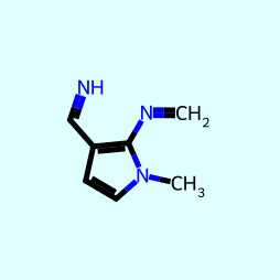 C=Nc1c(C=N)ccn1C